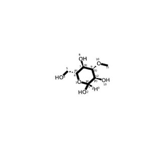 [2H][C@@]1(O)O[C@H](CO)[C@@H](O)[C@H](OC)[C@H]1O